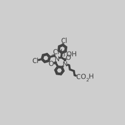 C[C@H](c1ccc(Cl)cc1)N1C(=O)c2ccccc2N(CCCCC(=O)O)C(=O)C1c1ccc(Cl)cc1O